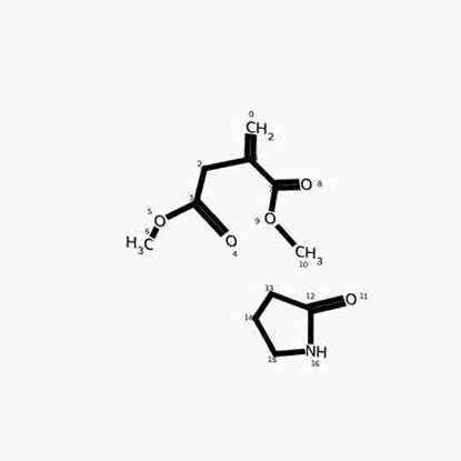 C=C(CC(=O)OC)C(=O)OC.O=C1CCCN1